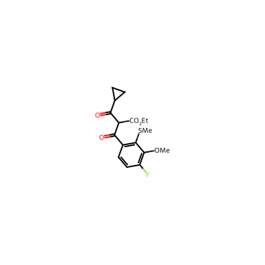 CCOC(=O)C(C(=O)c1ccc(F)c(OC)c1SC)C(=O)C1CC1